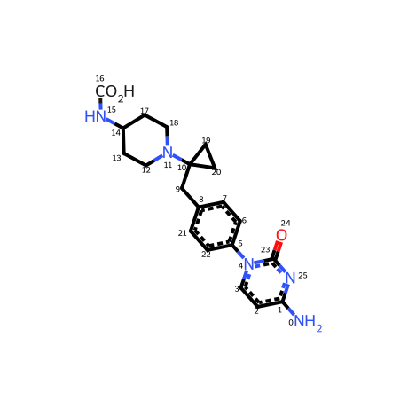 Nc1ccn(-c2ccc(CC3(N4CCC(NC(=O)O)CC4)CC3)cc2)c(=O)n1